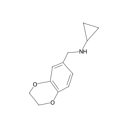 c1cc2c(cc1CNC1CC1)OCCO2